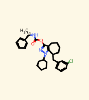 C[C@H](NC(=O)Oc1nn(C2CCCCC2)c2c1CCCCC2Cc1cccc(Cl)c1)c1ccccc1